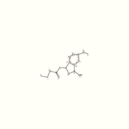 CCOC(=O)CC1OB(O)c2cc(OC)ccc21